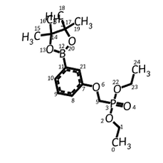 CCOP(=O)(COc1cccc(B2OC(C)(C)C(C)(C)O2)c1)OCC